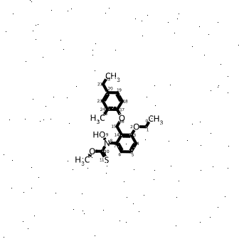 CCOc1cccc(N(O)C(=S)OC)c1COc1ccc(CC)cc1C